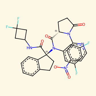 O=C1CC[C@@H](C(=O)N(c2cc(F)cc(F)c2)[C@@]2(C(=O)NC3CC(F)(F)C3)CCc3ccccc32)N1c1cc([N+](=O)[O-])ccn1